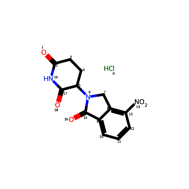 Cl.O=C1CCC(N2Cc3c(cccc3[N+](=O)[O-])C2=O)C(=O)N1